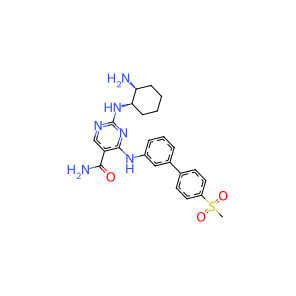 CS(=O)(=O)c1ccc(-c2cccc(Nc3nc(N[C@@H]4CCCC[C@@H]4N)ncc3C(N)=O)c2)cc1